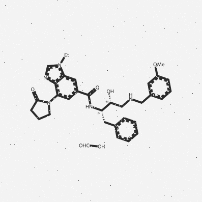 CCn1cnc2c(N3CCCC3=O)cc(C(=O)N[C@@H](Cc3ccccc3)[C@H](O)CNCc3cccc(OC)c3)cc21.O=CO